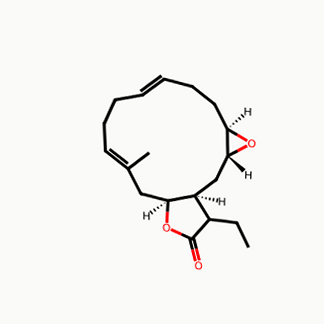 CCC1C(=O)O[C@H]2C/C(C)=C/CC/C=C/CC[C@H]3O[C@@H]3C[C@@H]12